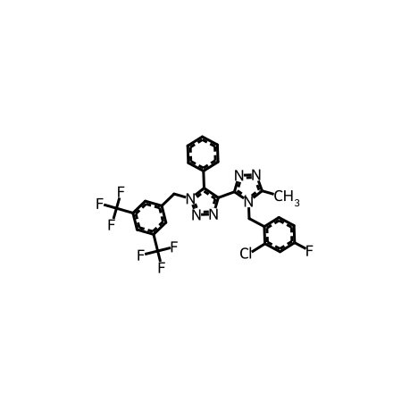 Cc1nnc(-c2nnn(Cc3cc(C(F)(F)F)cc(C(F)(F)F)c3)c2-c2ccccc2)n1Cc1ccc(F)cc1Cl